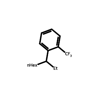 CCCCCCC(CC)c1ccccc1C(F)(F)F